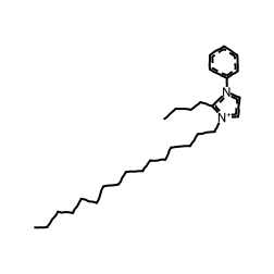 CCCCCCCCCCCCCCCC[n+]1ccn(-c2ccccc2)c1CCCC